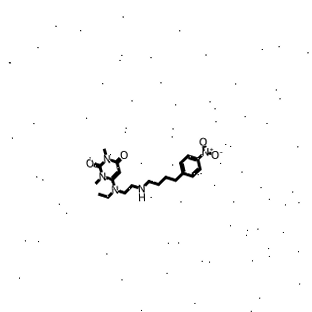 CCN(CCNCCCCc1ccc([N+](=O)[O-])cc1)c1cc(=O)n(C)c(=O)n1C